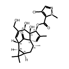 CC1=C[C@]23C(=O)[C@@H](C=C(CO)[C@@H](O)[C@]2(O)[C@H]1OC(=O)c1c(Cl)cnn1C)[C@H]1[C@@H](C[C@H]3C)C1(C)C